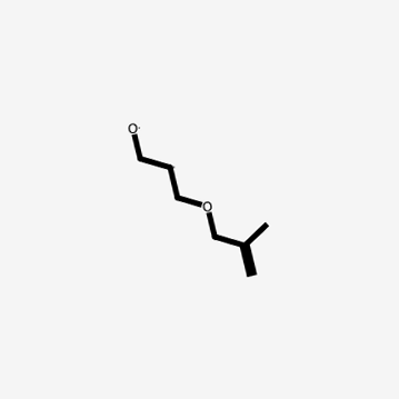 C=C(C)COC[CH]C[O]